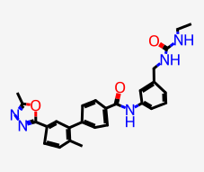 CCNC(=O)NCc1cccc(NC(=O)c2ccc(-c3cc(-c4nnc(C)o4)ccc3C)cc2)c1